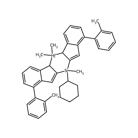 Cc1ccccc1-c1cccc2c1C=C1[CH]2[Hf]([CH3])([CH3])[CH]2C(=Cc3c(-c4ccccc4C)cccc32)[Si]1(C)C1CCCCC1